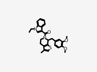 CCn1cc(C(=O)N2CCc3c(C)csc3C2Cc2ccc(OC)c(OC)c2)c2ccccc21